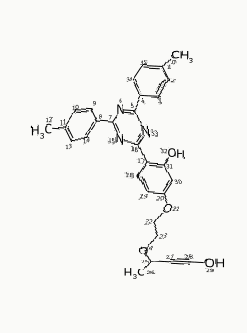 Cc1ccc(-c2nc(-c3ccc(C)cc3)nc(-c3ccc(OCCOC(C)C#CO)cc3O)n2)cc1